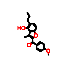 CCCc1ccc2oc(C(=O)c3ccc(OC)cc3)c(C)c2c1O